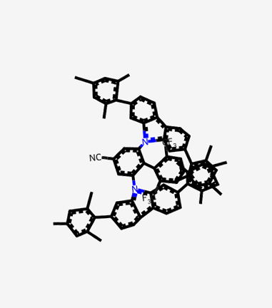 Cc1cc(C)c(-c2ccc3c4ccc(-c5c(C)cc(C)cc5C)cc4n(-c4cc(C#N)cc(-n5c6cc(-c7c(C)cc(C)cc7C)ccc6c6ccc(-c7c(C)cc(C)cc7C)cc65)c4-c4c(C(F)(F)F)cccc4C(F)(F)F)c3c2)c(C)c1